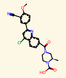 COc1ccc(-c2cc(Cl)c3ccc(C(=O)N4CCN(C(=O)O)[C@H](C)C4)cc3n2)cc1C#N